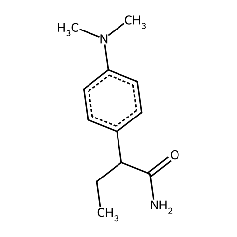 CCC(C(N)=O)c1ccc(N(C)C)cc1